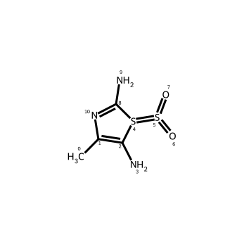 CC1=C(N)S(=S(=O)=O)C(N)=N1